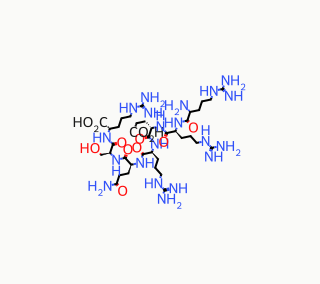 N=C(N)NCCC[C@H](NC(=O)[C@H](CO)NC(=O)[C@H](CCC(N)=O)NC(=O)[C@H](CCCNC(=N)N)NC(=O)[C@H](CCC(=O)O)NC(=O)[C@H](CCCNC(=N)N)NC(=O)[C@@H](N)CCCNC(=N)N)C(=O)O